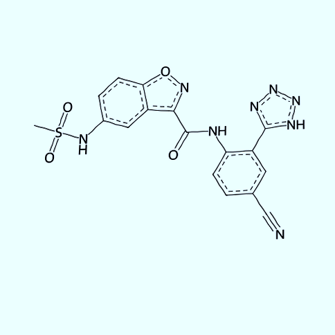 CS(=O)(=O)Nc1ccc2onc(C(=O)Nc3ccc(C#N)cc3-c3nnn[nH]3)c2c1